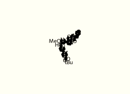 COc1ncc(-c2ccnc(N3CCn4c(cc5c4CC(C)(C)C5)C3=O)c2CO)cc1Nc1ccc(N2CCN(C(=O)OC(C)(C)C)C[C@@H]2C)cn1